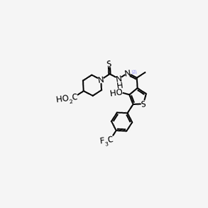 C/C(=N/NC(=S)N1CCC(C(=O)O)CC1)c1csc(-c2ccc(C(F)(F)F)cc2)c1O